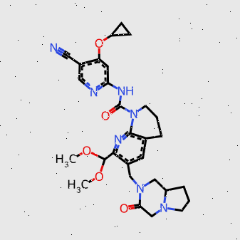 COC(OC)c1nc2c(cc1CN1CC3CCCN3CC1=O)CCCN2C(=O)Nc1cc(OC2CC2)c(C#N)cn1